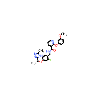 COc1cccc(Oc2ncccc2C(=O)NCc2ccc(OC(C)c3nnc(C)[nH]3)cc2F)c1